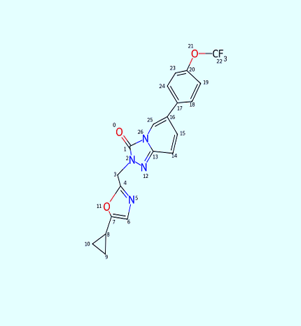 O=c1n(Cc2ncc(C3CC3)o2)nc2ccc(-c3ccc(OC(F)(F)F)cc3)cn12